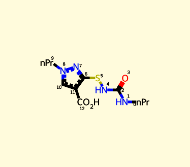 CCCNC(=O)NSc1nn(CCC)cc1C(=O)O